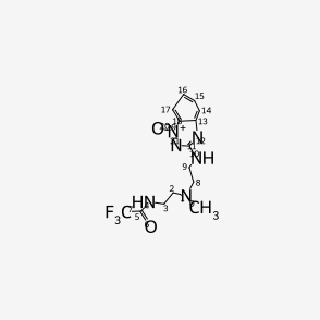 CN(CCNC(=O)C(F)(F)F)CCNc1nc2ccccc2[n+]([O-])n1